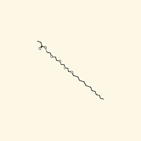 CCCCCCCCCCCCOCCOCCOCCOCCOC(=O)CC